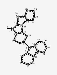 Cn1c2ccc(-n3c4ccccc4c4ccccc43)cc2n2c3ccccc3nc12